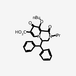 CCCCOc1c2n(cc(C(=O)O)c1=O)C(C(c1ccccc1)c1ccccc1)CN(C(C)C)C2=O